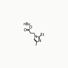 CCCCOC(=O)CCn1cc(C)nc1CC